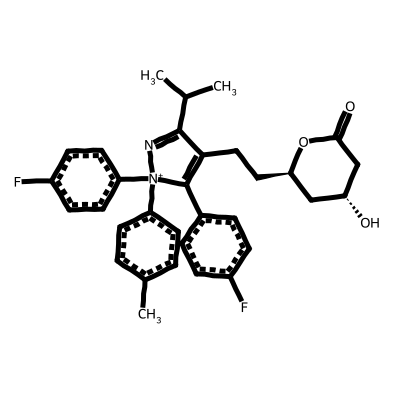 Cc1ccc([N+]2(c3ccc(F)cc3)N=C(C(C)C)C(CC[C@@H]3C[C@@H](O)CC(=O)O3)=C2c2ccc(F)cc2)cc1